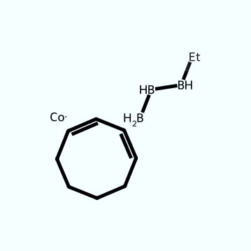 BBBCC.C1=CCCCCC=C1.[Co]